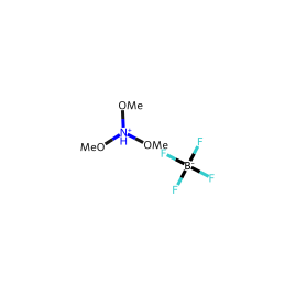 CO[NH+](OC)OC.F[B-](F)(F)F